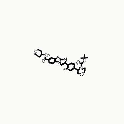 CC(C)(C)OC(=O)N1CCOCC1c1ccc(-c2cn3c(n2)sc2cc(C(=O)NC4CCOCC4)ccc23)c(F)c1